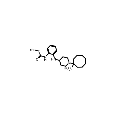 CC(C)(C)OC(=O)Nc1ccccc1NC1CCN(C2(C(=O)O)CCCCCCC2)CC1